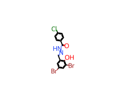 O=C(N/N=C/c1cc(Br)cc(Br)c1O)c1ccc(Cl)cc1